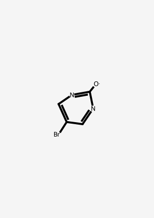 [O]c1ncc(Br)cn1